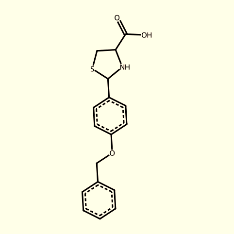 O=C(O)C1CSC(c2ccc(OCc3ccccc3)cc2)N1